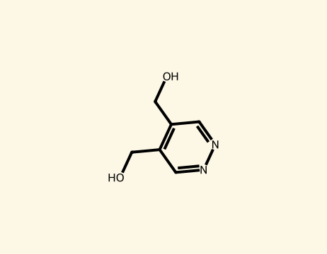 OCc1cnncc1CO